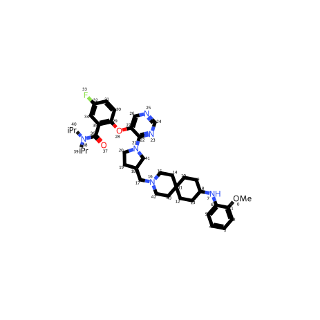 COc1ccccc1NC1CCC2(CC1)CCN(CC1CCN(c3ncncc3Oc3ccc(F)cc3C(=O)N(C(C)C)C(C)C)C1)CC2